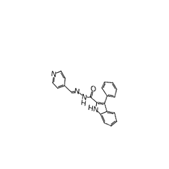 O=C(NN=Cc1ccncc1)c1[nH]c2ccccc2c1-c1ccccc1